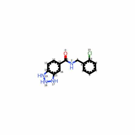 O=C(NCc1ccccc1Cl)c1ccc2c(c1)NNN2